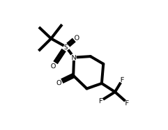 CC(C)(C)S(=O)(=O)N1CCC(C(F)(F)F)CC1=O